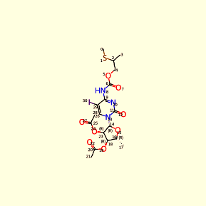 CSC(C)COC(=O)Nc1nc(=O)n([C@@H]2O[C@H](C)[C@@H](OC(C)=O)[C@H]2OC(C)=O)cc1I